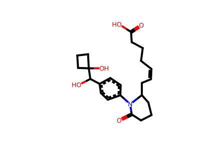 O=C(O)CCC/C=C\CC1CCCC(=O)N1c1ccc(C(O)C2(O)CCC2)cc1